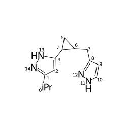 CC(C)c1cc(C2CC2Cc2cc[nH]n2)[nH]n1